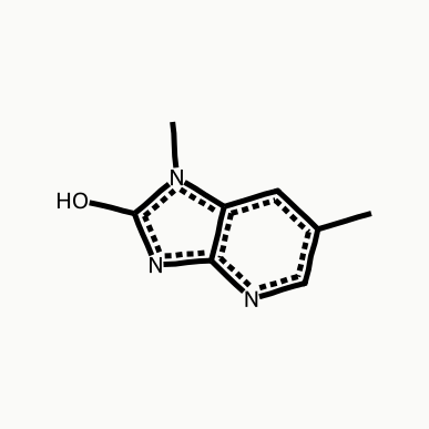 Cc1cnc2nc(O)n(C)c2c1